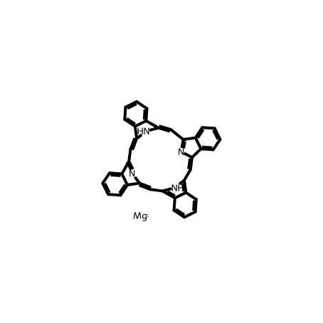 [Mg].c1ccc2c(c1)-c1cc3[nH]c(cc4nc(cc5[nH]c(cc-2n1)c1ccccc51)-c1ccccc1-4)c1ccccc31